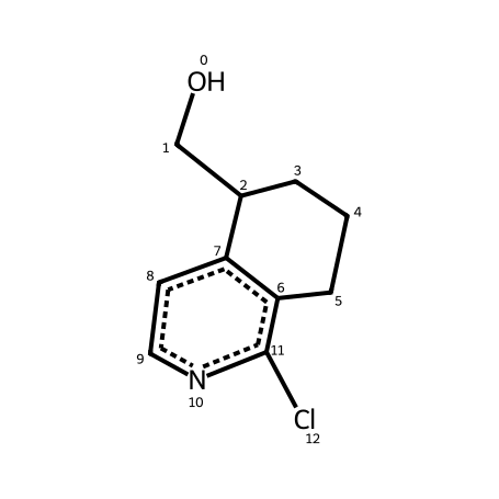 OCC1CCCc2c1ccnc2Cl